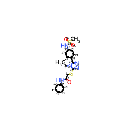 CCn1c(SCC(=O)Nc2ccccc2)nnc1-c1ccc(NS(C)(=O)=O)cc1